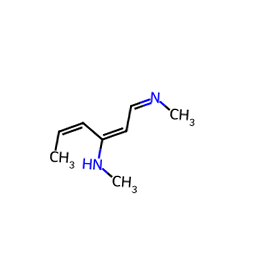 C\C=C/C(=C\C=N/C)NC